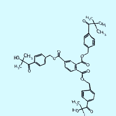 CC(C)(O)C(=O)c1ccc(COC(=O)c2ccc(C(=O)OCc3ccc(C(=O)C(C)(C)O)cc3)c(C(=O)OCc3ccc(C(=O)C(C)(C)O)cc3)c2)cc1